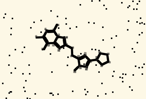 Cc1nc(C)n2nc(CCc3nc(N4CCCC4)nn3C)nc2c1C